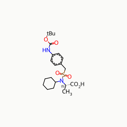 C[C@@H](C(=O)O)N(C1CCCCC1)S(=O)(=O)Cc1ccc(NC(=O)OC(C)(C)C)cc1